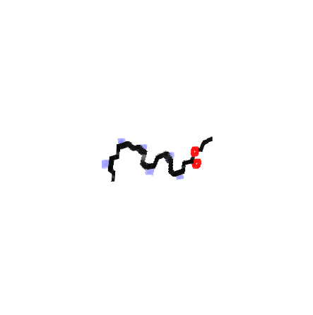 CC/C=C\C/C=C\C/C=C\C/C=C\C/C=C\C/C=C\CC(=O)OCCC